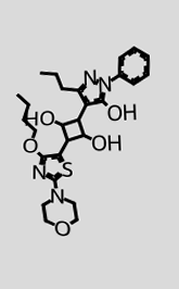 CCCCOc1nc(N2CCOCC2)sc1C1C(O)C(c2c(CCC)nn(-c3ccccc3)c2O)C1O